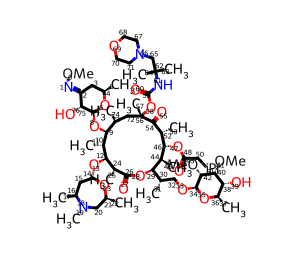 CO/N=C1\C[C@@H](C)O[C@@H](O[C@@H]2[C@@H](C)[C@H](O[C@H]3CC(C)N(C)C[C@H](C)O3)[C@@H](C)C(=O)O[C@H]([C@@H](C)CO[C@@H]3O[C@H](C)[C@@H](O)[C@@H](OC)[C@H]3OC)[C@H](C)[C@@H](OC(=O)CC(C)C)[C@@H](C)C(=O)[C@@](C)(OC(=O)NC(C)(C)CN3CCOCC3)C[C@@H]2C)[C@@H]1O